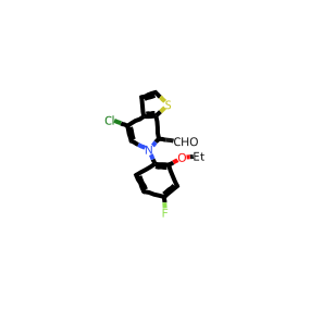 CCOc1cc(F)ccc1N1C=C(Cl)c2ccsc2C1C=O